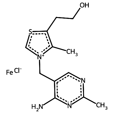 Cc1ncc(C[n+]2csc(CCO)c2C)c(N)n1.[Cl-].[Fe]